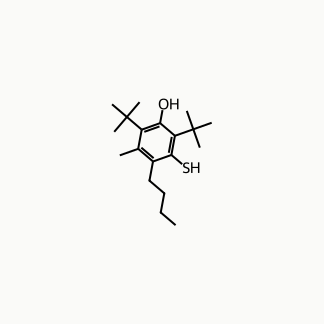 CCCCc1c(C)c(C(C)(C)C)c(O)c(C(C)(C)C)c1S